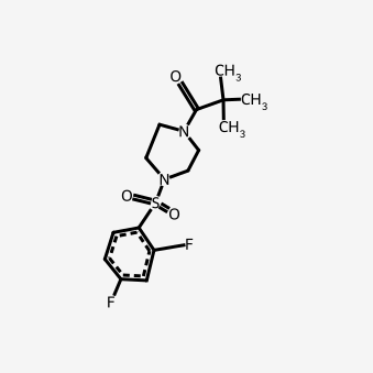 CC(C)(C)C(=O)N1CCN(S(=O)(=O)c2ccc(F)cc2F)CC1